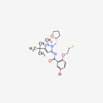 Cn1c(C(C)(C)C)cc(=NC(=O)c2cc(Br)ccc2OCCF)n1C[C@H]1CCCO1